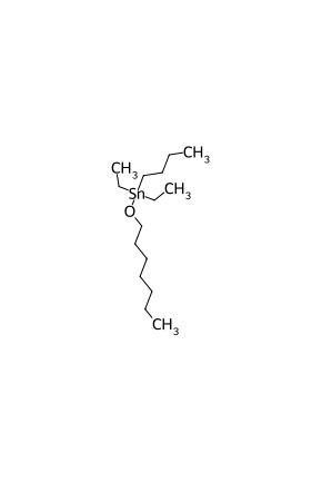 CCCCCCC[O][Sn]([CH2]C)([CH2]C)[CH2]CCC